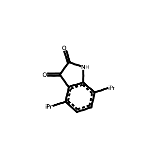 CC(C)c1ccc(C(C)C)c2c1NC(=O)C2=O